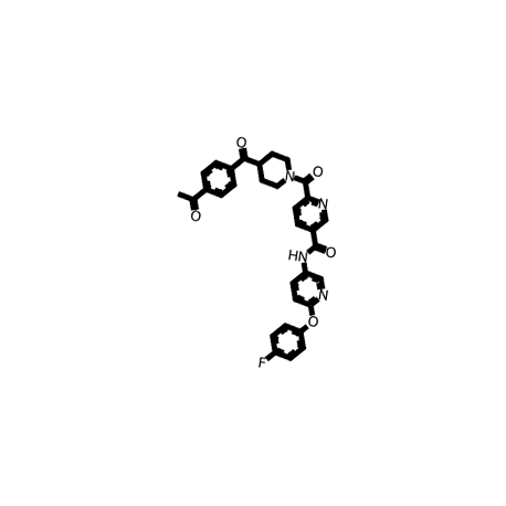 CC(=O)c1ccc(C(=O)C2CCN(C(=O)c3ccc(C(=O)Nc4ccc(Oc5ccc(F)cc5)nc4)cn3)CC2)cc1